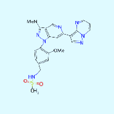 CNc1nn(-c2ccc(CNS(C)(=O)=O)cc2OC)c2cc(-c3cnn4cccnc34)ncc12